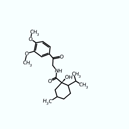 COc1ccc(C(=O)CNC(=O)[C@@]2(O)CC(C)CCC2C(C)C)cc1OC